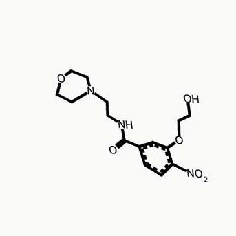 O=C(NCCN1CCOCC1)c1ccc([N+](=O)[O-])c(OCCO)c1